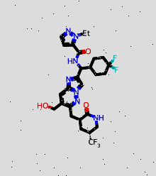 CCn1nccc1C(=O)NC(c1cn2nc(CC3C[C@@H](C(F)(F)F)CNC3=O)c(CO)cc2n1)C1CCC(F)(F)CC1